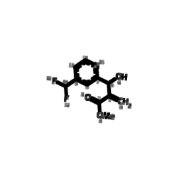 C=C(C(=O)OC)C(O)c1cc(C(F)F)ccn1